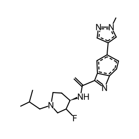 C=C(N[C@@H]1CCN(CC(C)C)CC1F)C1=Nc2ccc(-c3cnn(C)c3)cc21